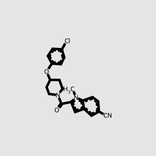 Cn1c(C(=O)N2CCC(Oc3ccc(Cl)cc3)CC2)cc2cc(C#N)ccc21